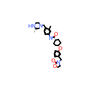 Cc1cc(N(C)C(=O)[C@H]2CC[C@H](Oc3cccc(CN4CCOC4=O)c3)CC2)ccc1CN1CCN[C@@H](C)C1